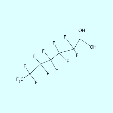 OC(O)C(F)(F)C(F)(F)C(F)(F)C(F)(F)C(F)(F)C(F)(F)F